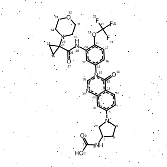 O=C(O)NC1CCN(c2ccc3c(=O)n(-c4ccc(OC(F)(F)F)c(NC(=O)C5(N6CCOCC6)CC5)c4)cnc3c2)C1